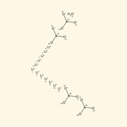 O.[Li+].[Li+].[Li+].[Li+].[Li+].[Li+].[Li+].[Li+].[Li+].[Li+].[Li+].[Li+].[O-]B([O-])[O-].[O-]B([O-])[O-].[O-]B([O-])[O-].[O-]B([O-])[O-]